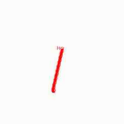 CC=C(C)C(=O)OCCOCCOCCOCCOCCOCCOCCOCCOCCOCCOCCOCCOCCOCCOCCOCCOCCOCCO